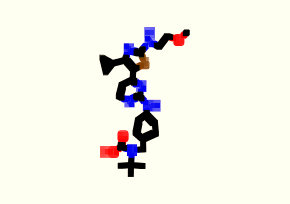 COCCNc1nc(C2CC2)c(-c2ccnc(Nc3ccc(CN(C(=O)O)C(C)(C)C)cc3)n2)s1